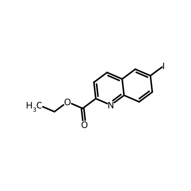 CCOC(=O)c1ccc2cc(I)ccc2n1